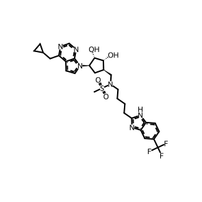 CS(=O)(=O)N(CCCCc1nc2cc(C(F)(F)F)ccc2[nH]1)C[C@H]1C[C@@H](n2ccc3c(CC4CC4)ncnc32)[C@H](O)[C@@H]1O